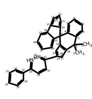 CC1(C)c2ccccc2C2(c3ccccc3-c3ccccc32)c2cc(C(=N)/C=C\C(=N)c3ccccc3)ccc21